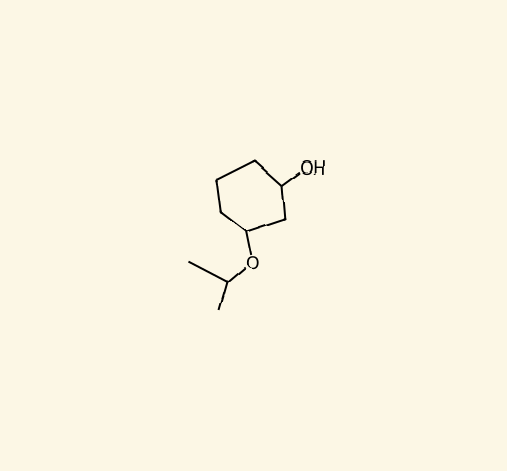 CC(C)OC1CCCC(O)C1